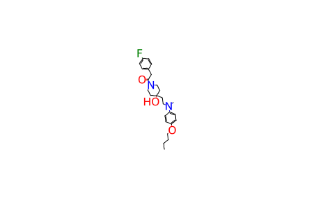 CCCCOc1ccc(N(C)CCC2(O)CCN(C(=O)Cc3ccc(F)cc3)CC2)cc1